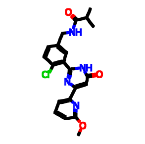 COc1cccc(-c2cc(=O)[nH]c(-c3cc(CNC(=O)C(C)C)ccc3Cl)n2)n1